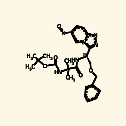 CC(C)(C)OC(=O)NC(C)(C)C(=O)N[C@H](COCc1ccccc1)c1nnc2ccc(N=O)cn12